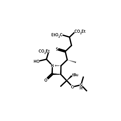 CCOC(=O)C(CC(=S)[C@H](C)[C@@H]1[C@@H]([C@@](C)(O[SiH](C)C)C(C)(C)C)C(=O)N1C(O)C(=O)OCC)C(=O)OCC